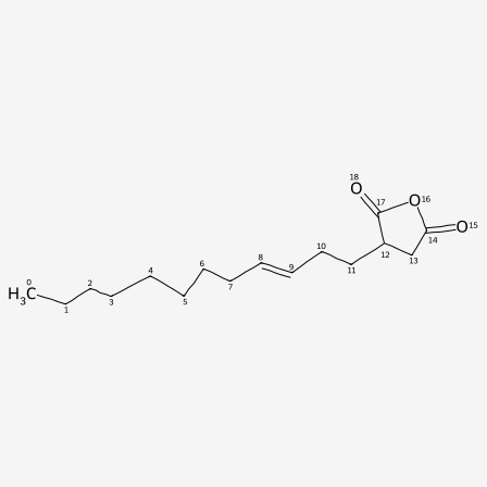 CCCCCCCCC=CCCC1CC(=O)OC1=O